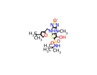 CC(C)c1coc(CNc2n[s+]([O-])nc2N(C)c2csc(S(=O)(=O)NC(C)(C)C)c2O)c1